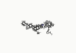 CC#Cc1nc([N+](=O)[O-])c(C[N+](C)(C)C/C=C/C(=O)Nc2cc3c(Nc4ccc(OCc5ccccn5)c(Br)c4)ncnc3cn2)n1C.[Br-]